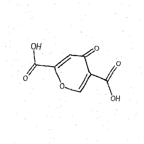 O=C(O)c1cc(=O)c(C(=O)O)co1